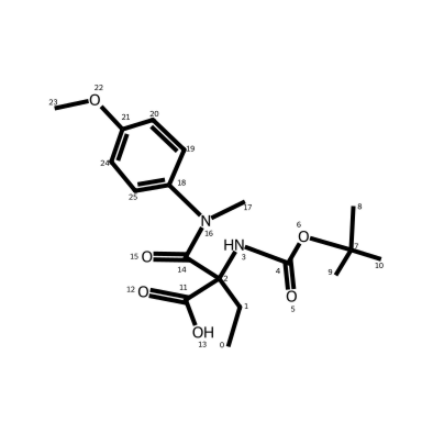 CCC(NC(=O)OC(C)(C)C)(C(=O)O)C(=O)N(C)c1ccc(OC)cc1